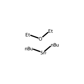 CCC[CH2][Sn][CH2]CCC.CCOCC